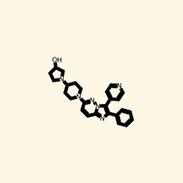 OC1CCN(C2CCN(c3ccc4nc(-c5ccccc5)c(-c5ccncc5)n4n3)CC2)C1